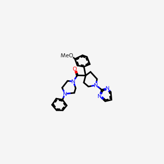 COc1cccc(C2(C(=O)N3CCN(c4ccccc4)CC3)CCN(c3ncccn3)CC2)c1